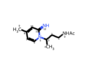 CC(=O)NCCC(C)n1ccc(C)cc1=N